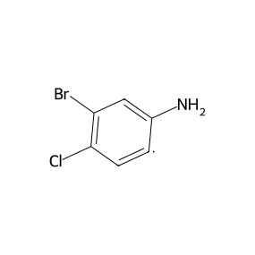 Nc1[c]cc(Cl)c(Br)c1